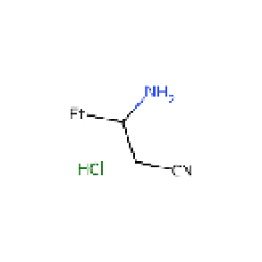 CCC(N)CC#N.Cl